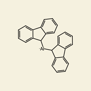 c1ccc2c(c1)-c1ccccc1[CH]2[Al][CH]1c2ccccc2-c2ccccc21